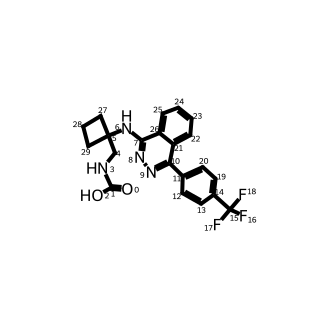 O=C(O)NCC1(Nc2nnc(-c3ccc(C(F)(F)F)cc3)c3ccccc23)CCC1